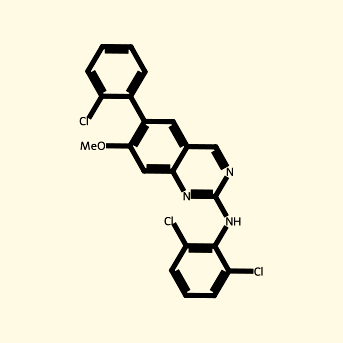 COc1cc2nc(Nc3c(Cl)cccc3Cl)ncc2cc1-c1ccccc1Cl